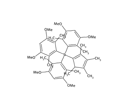 COc1cc(OC)c(C)c([Si](C2=C(C)C(C)=C(C)C2C)(c2c(C)c(OC)cc(OC)c2C)c2c(C)c(OC)cc(OC)c2C)c1C